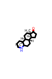 C[C@]12CCCNC1CC[C@@H]1[C@@H]2CC[C@]2(C)C(=O)CC[C@@H]12